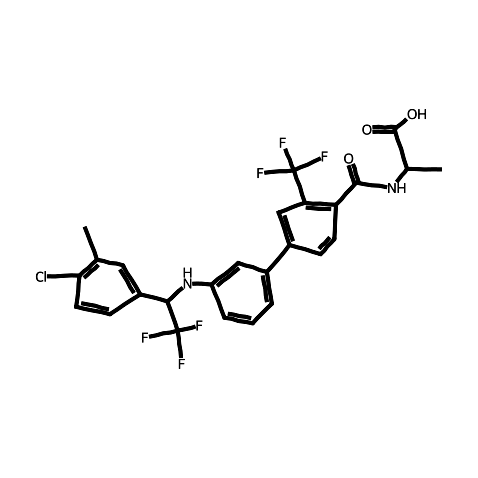 Cc1cc(C(Nc2cccc(-c3ccc(C(=O)NC(C)C(=O)O)c(C(F)(F)F)c3)c2)C(F)(F)F)ccc1Cl